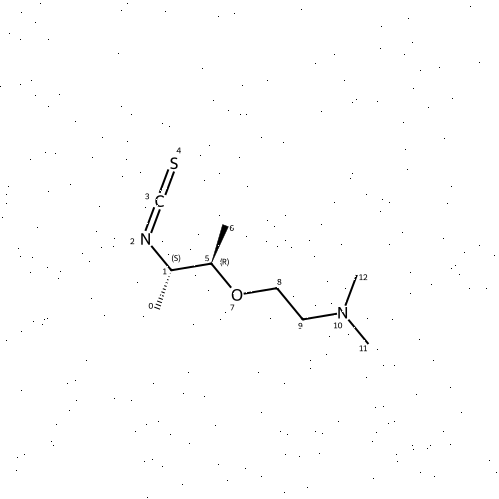 C[C@H](N=C=S)[C@@H](C)OCCN(C)C